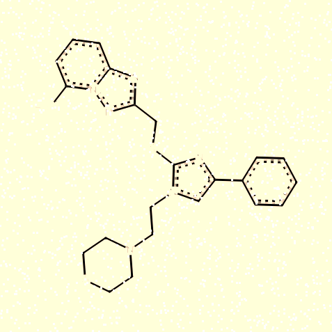 Cc1cccc2nc(CSc3nc(-c4ccccc4)cn3CCN3CCOCC3)nn12